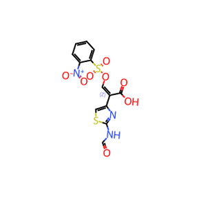 O=CNc1nc(/C(=C/OS(=O)(=O)c2ccccc2[N+](=O)[O-])C(=O)O)cs1